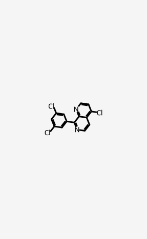 Clc1cc(Cl)cc(-c2nccc3c(Cl)ccnc23)c1